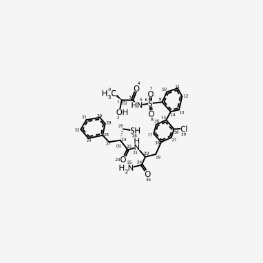 C[C@H](O)C(=O)NS(=O)(=O)c1ccccc1-c1ccc(CC(NC(=O)[C@@H](CS)Cc2ccccc2)C(N)=O)cc1Cl